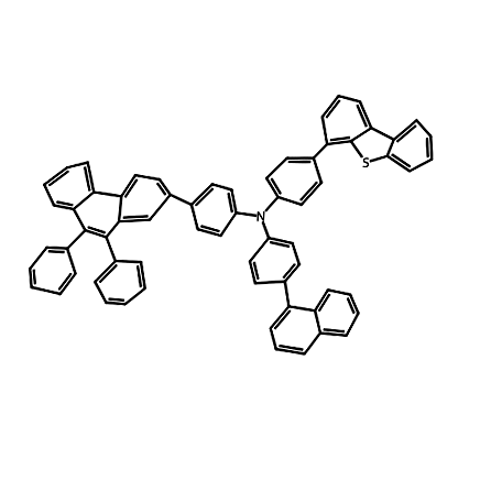 c1ccc(-c2c(-c3ccccc3)c3cc(-c4ccc(N(c5ccc(-c6cccc7ccccc67)cc5)c5ccc(-c6cccc7c6sc6ccccc67)cc5)cc4)ccc3c3ccccc23)cc1